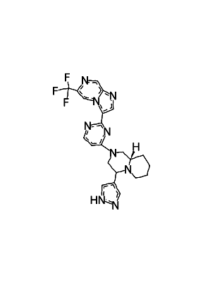 FC(F)(F)c1cn2c(-c3nccc(N4CC(c5cn[nH]c5)N5CCCC[C@H]5C4)n3)cnc2cn1